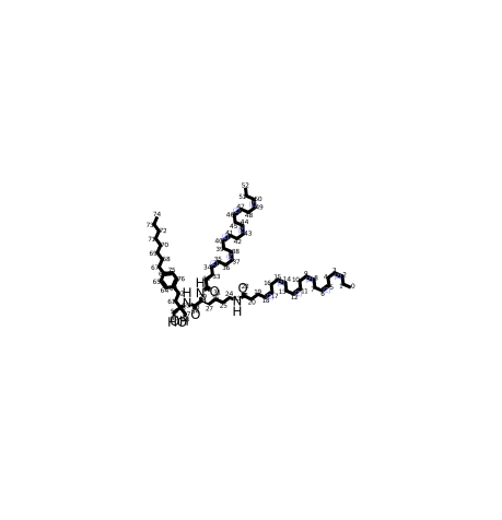 CC/C=C\C/C=C\C/C=C\C/C=C\C/C=C\C/C=C\CCC(=O)NCCCC[C@H](NC(=O)CC/C=C\C/C=C\C/C=C\C/C=C\C/C=C\C/C=C\CC)C(=O)NC(CO)(CO)CCc1ccc(CCCCCCCC)cc1